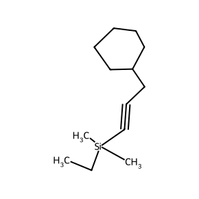 CC[Si](C)(C)C#CCC1CCCCC1